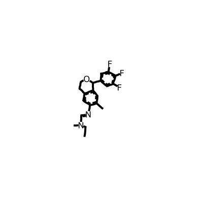 CCN(C)/C=N/c1cc2c(cc1C)C(c1cc(F)c(F)c(F)c1)OCC2